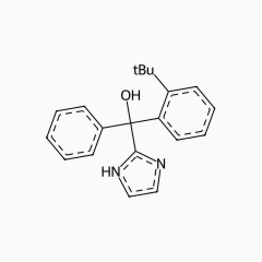 CC(C)(C)c1ccccc1C(O)(c1ccccc1)c1ncc[nH]1